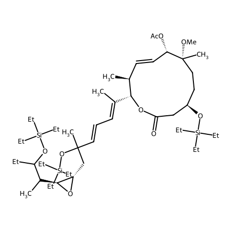 CCC(O[Si](CC)(CC)CC)C(C)[C@@H]1O[C@H]1CC(C)(/C=C/C=C(\C)[C@H]1OC(=O)C[C@H](O[Si](CC)(CC)CC)CC[C@@](C)(OC)[C@@H](OC(C)=O)/C=C/[C@@H]1C)O[Si](CC)(CC)CC